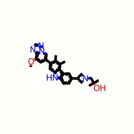 COc1cc(-c2cc3[nH]c4ccc(C5CN(CC(C)(C)O)C5)cc4c3c(C)c2C)cn2ncnc12